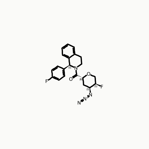 [N-]=[N+]=N[C@H]1C[C@H](C(=O)N2CCc3ccccc3[C@@H]2c2ccc(F)cc2)OC[C@H]1F